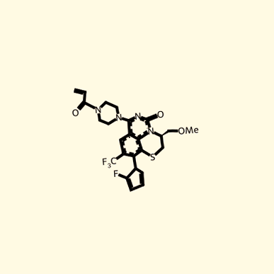 C=CC(=O)N1CCN(c2nc(=O)n3c4c(c(C5C=CC=C5F)c(C(F)(F)F)cc24)SC[C@@H]3COC)CC1